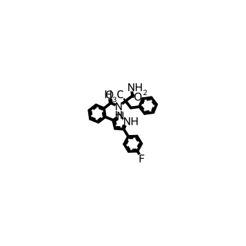 C[C@@](Cc1ccccc1)(NC(=O)c1ccccc1-c1cc(-c2ccc(F)cc2)[nH]n1)C(N)=O